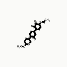 CCOc1ccc(-c2ccc(C3CCC(OC)OC3)c(F)c2)c(F)c1F